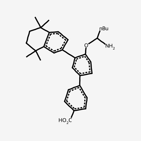 CCCCC(N)Oc1ccc(-c2ccc(C(=O)O)cc2)cc1-c1ccc2c(c1)C(C)(C)CCC2(C)C